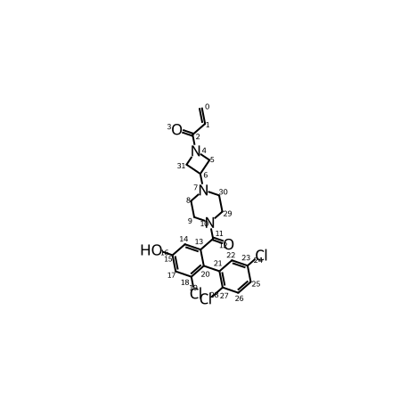 C=CC(=O)N1CC(N2CCN(C(=O)c3cc(O)cc(Cl)c3-c3cc(Cl)ccc3Cl)CC2)C1